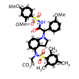 COc1cccc(C(C(=O)NS(=O)(=O)c2ccc(OC)cc2OC)N2CCc3c2cccc3N(CC(=O)O)S(=O)(=O)c2c(C)cc(C)cc2C)c1